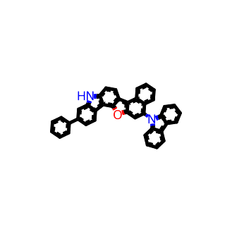 c1ccc(-c2ccc3c(c2)[nH]c2ccc4c(oc5cc(-n6c7ccccc7c7ccccc76)c6ccccc6c54)c23)cc1